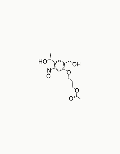 CC(=O)OCCCOc1cc(N=O)c(C(C)O)cc1CO